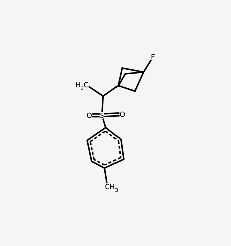 Cc1ccc(S(=O)(=O)C(C)C23CC(F)(C2)C3)cc1